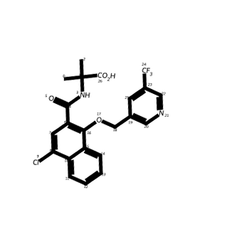 CC(C)(NC(=O)c1cc(Cl)c2ccccc2c1OCc1cncc(C(F)(F)F)c1)C(=O)O